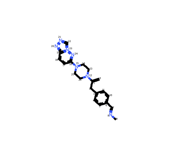 C=C(Cc1ccc(/C=N/C)cc1)N1CCN(c2ccc3nncn3n2)CC1